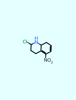 O=[N+]([O-])C1=C2CCC(Cl)NC2CC=C1